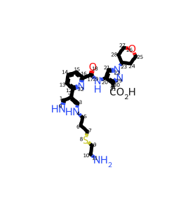 N=C/C(=C\NCCCSCCN)c1cccc(C(=O)Nc2cn(C3CCOCC3)nc2C(=O)O)n1